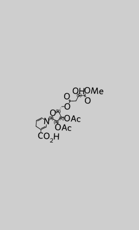 COC(=O)[C@@H](O)CC(=O)OC[C@H]1O[C@@H](N2C=CCC(C(=O)O)=C2)[C@H](OC(C)=O)[C@@H]1OC(C)=O